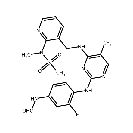 CN(c1ncccc1CNc1nc(Nc2ccc(NC=O)cc2F)ncc1C(F)(F)F)S(C)(=O)=O